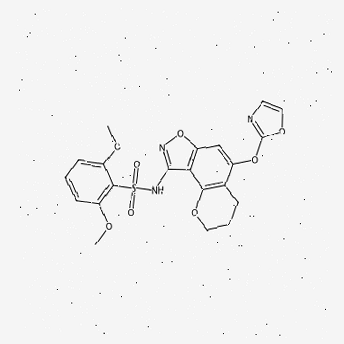 COc1cccc(OC)c1S(=O)(=O)Nc1noc2cc(Oc3ncco3)c3c(c12)OCCC3